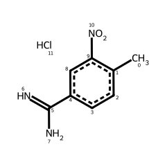 Cc1ccc(C(=N)N)cc1[N+](=O)[O-].Cl